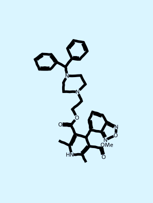 COC(=O)C1=C(C)NC(C)=C(C(=O)OCCN2CCN(C(c3ccccc3)c3ccccc3)CC2)C1c1cccc2nonc12